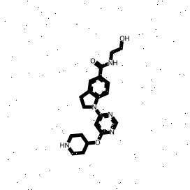 O=C(NCCO)c1ccc2c(c1)CCN2c1cc(OC2CCNCC2)ncn1